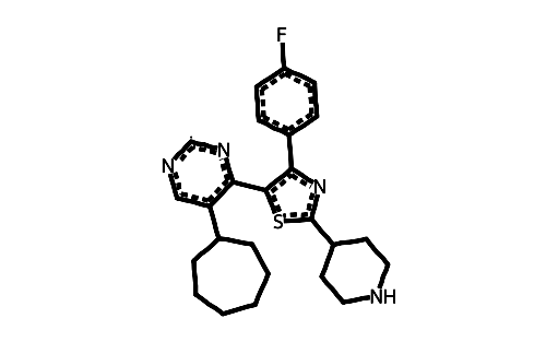 Fc1ccc(-c2nc(C3CCNCC3)sc2-c2n[c]ncc2C2CCCCCC2)cc1